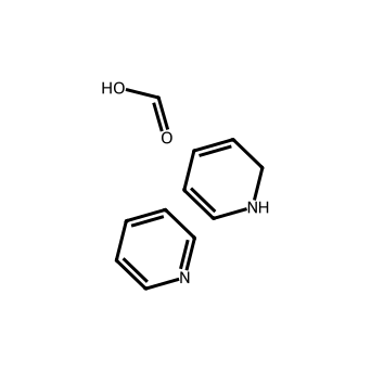 C1=CCNC=C1.O=CO.c1ccncc1